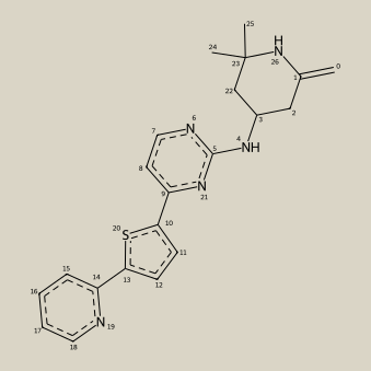 C=C1CC(Nc2nccc(-c3ccc(-c4ccccn4)s3)n2)CC(C)(C)N1